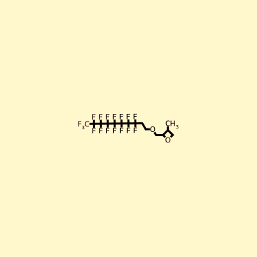 CC1COC1COCCC(F)(F)C(F)(F)C(F)(F)C(F)(F)C(F)(F)C(F)(F)C(F)(F)C(F)(F)F